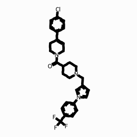 O=C(C1CCN(Cc2ccn(-c3ccc(C(F)(F)F)cc3)c2)CC1)N1CC=C(c2ccc(Cl)cc2)CC1